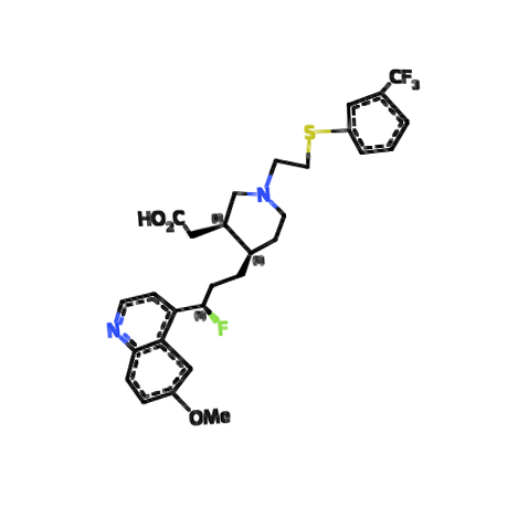 COc1ccc2nccc([C@H](F)CC[C@@H]3CCN(CCSc4cccc(C(F)(F)F)c4)C[C@@H]3CC(=O)O)c2c1